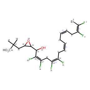 CC/C(F)=C(/F)C/C=C\C/C=C\C/C(F)=C(/F)C/C(F)=C(/F)C(O)C1OC1CC(C)(C)C(=O)O